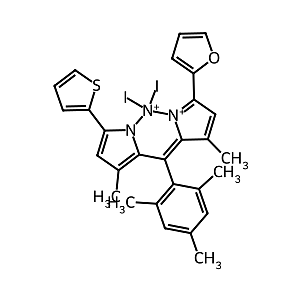 CC1=CC(c2ccco2)=[N+]2C1=C(c1c(C)cc(C)cc1C)c1c(C)cc(-c3cccs3)n1[N+]2(I)I